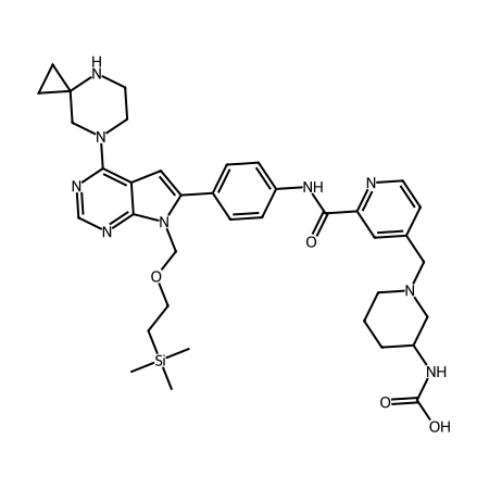 C[Si](C)(C)CCOCn1c(-c2ccc(NC(=O)c3cc(CN4CCCC(NC(=O)O)C4)ccn3)cc2)cc2c(N3CCNC4(CC4)C3)ncnc21